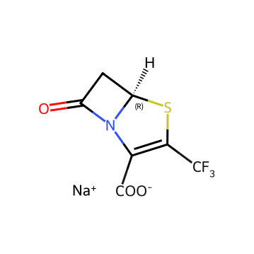 O=C([O-])C1=C(C(F)(F)F)S[C@@H]2CC(=O)N12.[Na+]